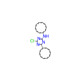 Clc1nc(Nc2ccccccccc2)nc(-c2ccccccccc2)n1